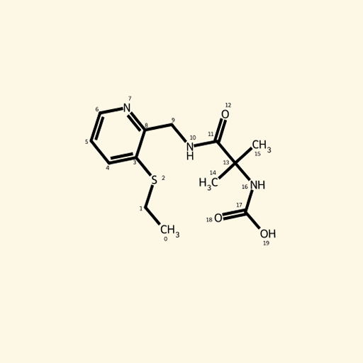 CCSc1cccnc1CNC(=O)C(C)(C)NC(=O)O